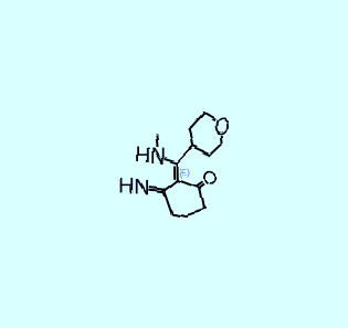 CN/C(=C1\C(=N)CCCC1=O)C1CCOCC1